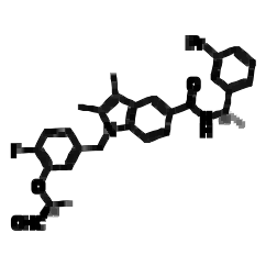 Cc1c(C)n(Cc2ccc(F)c(O[C@@H](C)C=O)c2)c2ccc(C(=O)N[C@@H](C)c3cccc(C(C)C)c3)cc12